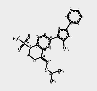 Cc1nc(-c2cccnc2)sc1-c1cnc2c(n1)/C(=N/OC(C)C)CCN2S(C)(=O)=O